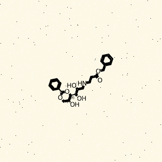 O=C(CCNCC(O)C(O)[C@@H]1O[C@H](c2ccccc2)OC[C@H]1O)OCc1ccccc1